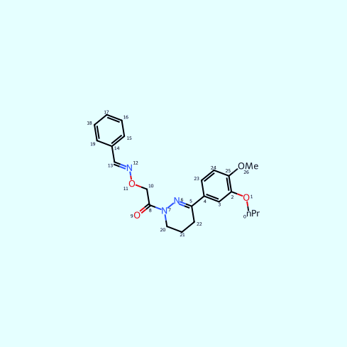 CCCOc1cc(C2=NN(C(=O)CON=Cc3ccccc3)CCC2)ccc1OC